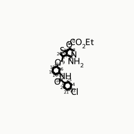 CCOC(=O)Oc1cnc(N)c2c(COc3cccc(NC(=O)c4ccc(Cl)cc4)c3)csc12